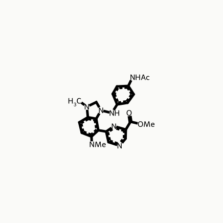 CNc1ccc2c(c1-c1cncc(C(=O)OC)n1)N(Nc1ccc(NC(C)=O)cc1)CN2C